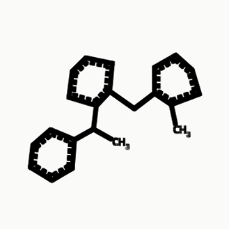 Cc1ccccc1Cc1ccccc1C(C)c1ccccc1